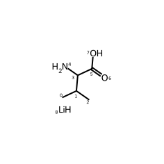 CC(C)C(N)C(=O)O.[LiH]